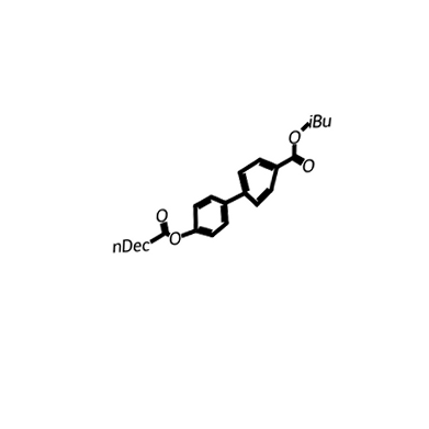 CCCCCCCCCCC(=O)Oc1ccc(-c2ccc(C(=O)OC(C)CC)cc2)cc1